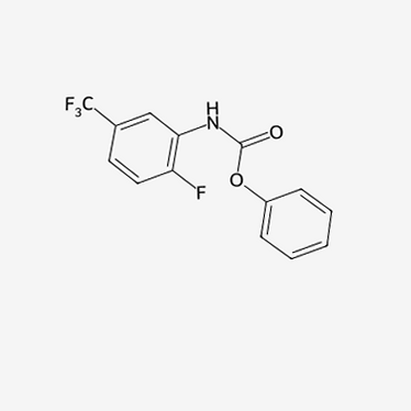 O=C(Nc1cc(C(F)(F)F)ccc1F)Oc1ccccc1